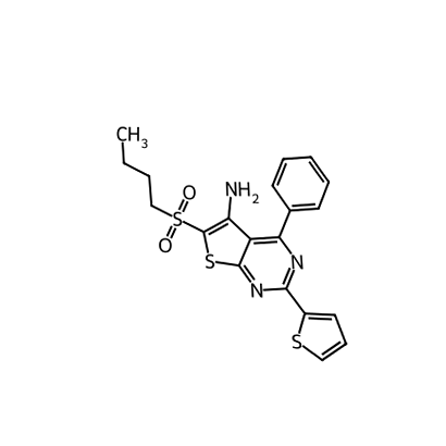 CCCCS(=O)(=O)c1sc2nc(-c3cccs3)nc(-c3ccccc3)c2c1N